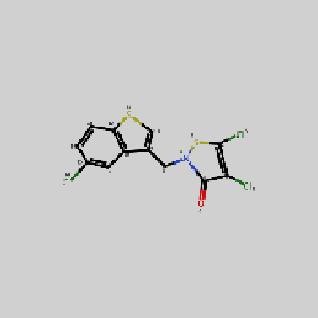 O=c1c(Cl)c(Cl)sn1Cc1csc2ccc(Cl)cc12